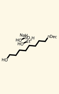 CCCCCCCCCCCCCCCCCCO.CCO.O=S(=O)(O)O.[NaH]